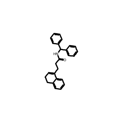 O=C(CCC1=CCCc2ccccc21)NC(c1ccccc1)c1ccccc1